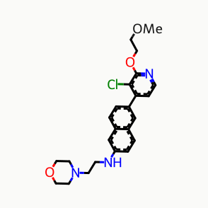 COCCOc1nccc(-c2ccc3cc(NCCN4CCOCC4)ccc3c2)c1Cl